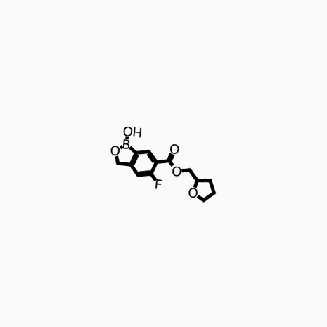 O=C(OCC1CCCO1)c1cc2c(cc1F)COB2O